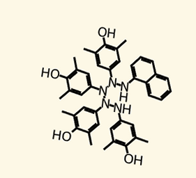 Cc1cc(NN(c2cc(C)c(O)c(C)c2)N(c2cc(C)c(O)c(C)c2)N(Nc2cccc3ccccc23)c2cc(C)c(O)c(C)c2)cc(C)c1O